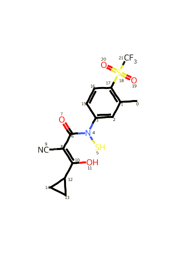 Cc1cc(N(S)C(=O)C(C#N)=C(O)C2CC2)ccc1S(=O)(=O)C(F)(F)F